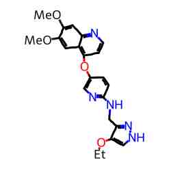 CCOc1c[nH]nc1CNc1ccc(Oc2ccnc3cc(OC)c(OC)cc23)cn1